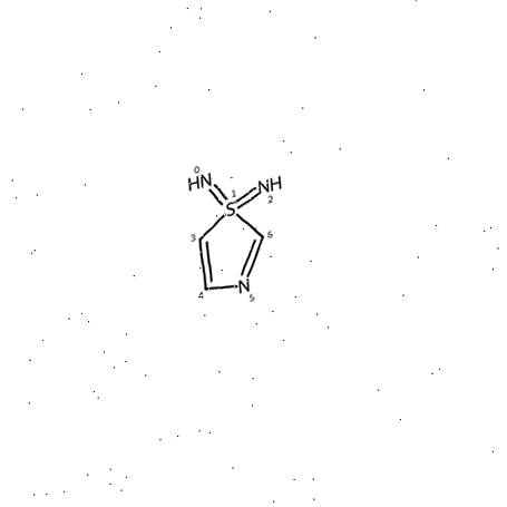 N=S1(=N)C=CN=C1